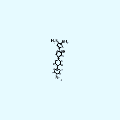 Bc1cc(-c2ccc(C3CCC(C4CCC(B)CC4)CC3)cc2F)sc1B